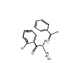 CCc1ccccc1C(=O)N(N)C(C)(C)C.Cl.Cl.O=C(Cl)c1ccccc1